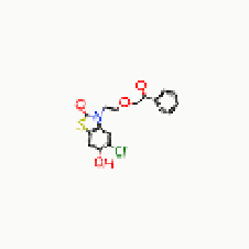 O=C(COCCn1c(=O)sc2cc(O)c(Cl)cc21)c1ccccc1